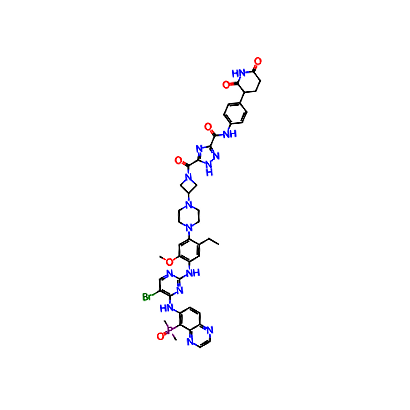 CCc1cc(Nc2ncc(Br)c(Nc3ccc4nccnc4c3P(C)(C)=O)n2)c(OC)cc1N1CCN(C2CN(C(=O)c3nc(C(=O)Nc4ccc(C5CCC(=O)NC5=O)cc4)n[nH]3)C2)CC1